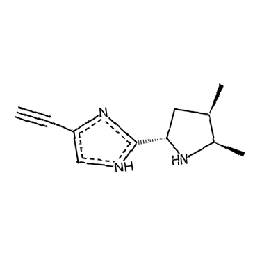 C#Cc1c[nH]c([C@@H]2C[C@@H](C)[C@@H](C)N2)n1